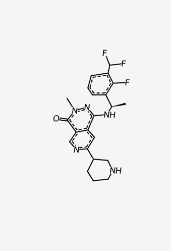 C[C@@H](Nc1nn(C)c(=O)c2cnc(C3CCCNC3)cc12)c1cccc(C(F)F)c1F